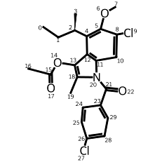 CC[C@@H](C)c1c(OC)c(Cl)cc2c1c(OC(C)=O)c(C)n2C(=O)c1ccc(Cl)cc1